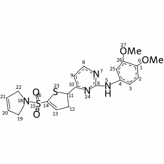 COc1ccc(Nc2nccc(C3CC=C(S(=O)(=O)N4CC=CC4)S3)n2)cc1OC